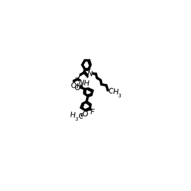 CCCCCCCn1cc(C[C@H](CO)NC(=O)c2cccc(-c3ccc(OC)c(F)c3)c2)c2c1C=CCC2